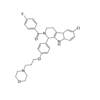 O=C(c1ccc(F)cc1)N1CCC2=C(NC3C=CC(Cl)=CC23)C1c1ccc(OCCCN2CCOCC2)cc1